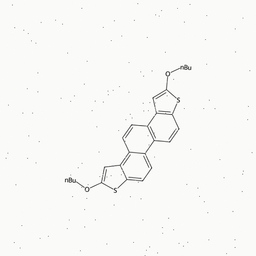 CCCCOc1cc2c(ccc3c2ccc2c4cc(OCCCC)sc4ccc23)s1